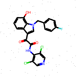 O=C(Nc1c(Cl)cncc1Cl)C(=O)c1cn(Cc2ccc(F)cc2)c2c(O)cccc12